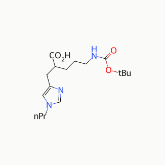 CCCn1cnc(CC(CCCNC(=O)OC(C)(C)C)C(=O)O)c1